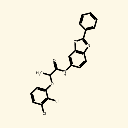 CC(Oc1cccc(Cl)c1Cl)C(=O)Nc1ccc2nc(-c3ccccc3)oc2c1